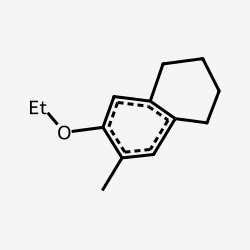 CCOc1cc2c(cc1C)CCCC2